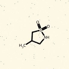 CC1CNS(=O)(=O)C1